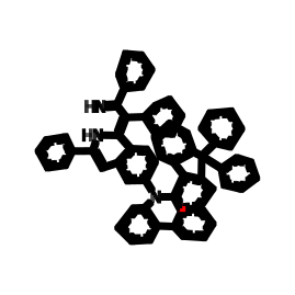 N=C(/C(=C1\NC(c2ccccc2)=Cc2cc(N(c3ccccc3-c3ccccc3)c3cccc4c3-c3ccccc3C4(c3ccccc3)c3ccccc3)ccc21)c1ccccc1)c1ccccc1